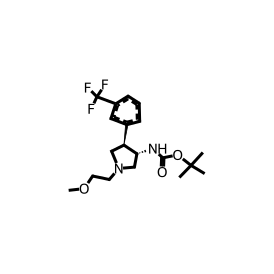 COCCN1C[C@@H](NC(=O)OC(C)(C)C)[C@H](c2cccc(C(F)(F)F)c2)C1